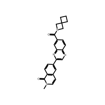 Cn1ccc2cc(-c3cnc4ccc(C(=O)N5CC6(CCC6)C5)cc4n3)ccc2c1=O